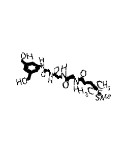 CSSC(C)(C)CCC(=O)NCC(=O)NCC(=O)NCC(=O)Nc1cc(CO)cc(CO)c1